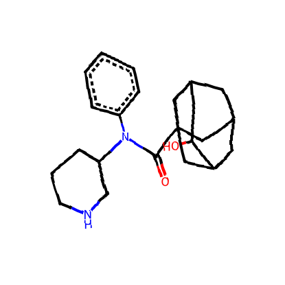 O=C(N(c1ccccc1)C1CCCNC1)C12CC3CC(C1)C(O)C(C3)C2